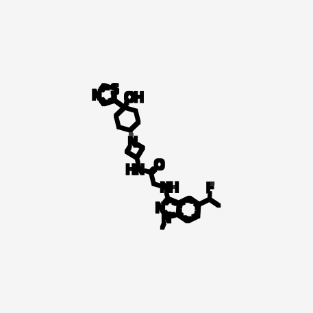 CC(F)c1ccc2c(c1)c(NCC(=O)NC1CN([C@H]3CC[C@@](O)(c4cncs4)CC3)C1)nn2C